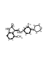 Cc1cccc2c1/C(=C\Nc1ccc(N3CCOCC3)c(F)c1)C(=O)N2